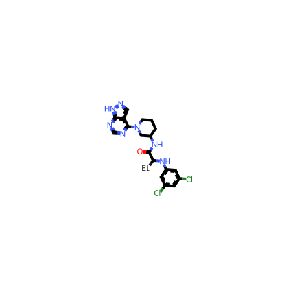 CCC(Nc1cc(Cl)cc(Cl)c1)C(=O)NC1CCCN(c2ncnc3[nH]ncc23)C1